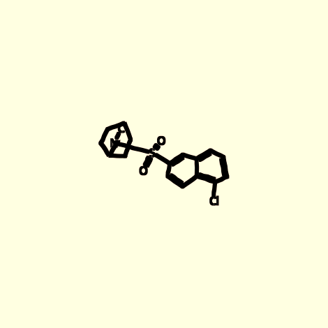 O=S(=O)(c1ccc2c(Cl)cccc2c1)N1CC2CCC(CC2)C1